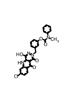 CN(C(=O)Oc1cccc(Cn2nc(O)c3[nH]c4cc(Cl)ccc4c(=O)c3c2=O)c1)c1ccccc1